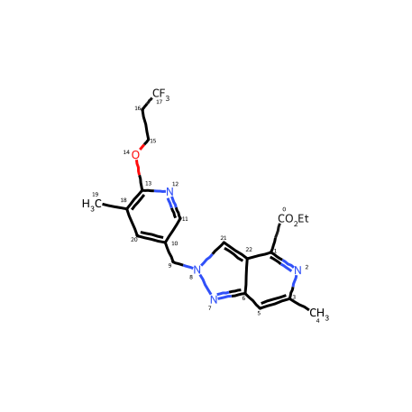 CCOC(=O)c1nc(C)cc2nn(Cc3cnc(OCCC(F)(F)F)c(C)c3)cc12